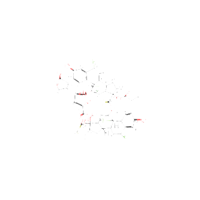 CCC(=O)OC1(C(=S)OC2C[C@@]3(C)[C@@H](CC(C)C3(OC(=O)c3ccco3)C(O)=S)[C@@H]3CC(F)C4=CC(=O)C=C[C@]4(C)C23F)C(C)CC2C3CC(F)C4=CC(=O)C([C@@H]5CCOC5=O)=C[C@]4(C)[C@]3(F)C(O)C[C@@]21C